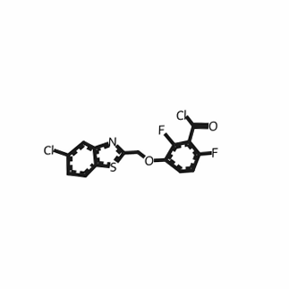 O=C(Cl)c1c(F)ccc(OCc2nc3cc(Cl)ccc3s2)c1F